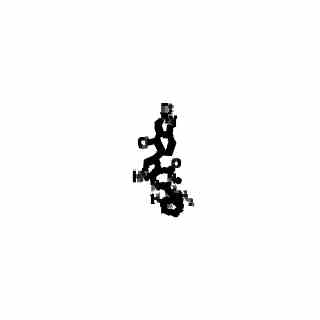 CCn1cc2c(Cl)c(-c3c[nH]c4nc(N5CC6CC[C@@H]5[C@@H]6N)n(C)c(=O)c34)ccc2n1